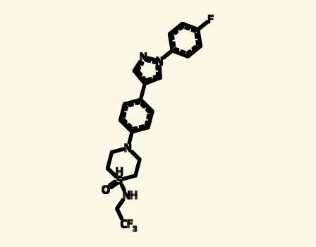 O=[SH]1(NCC(F)(F)F)CCN(c2ccc(-c3cnn(-c4ccc(F)cc4)c3)cc2)CC1